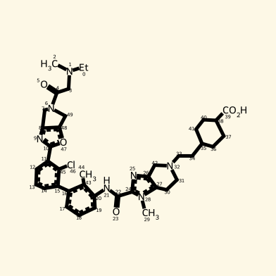 CCN(C)CC(=O)N1Cc2nc(-c3cccc(-c4cccc(NC(=O)c5nc6c(n5C)CCN(CCC5CCC(C(=O)O)CC5)C6)c4C)c3Cl)oc2C1